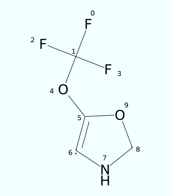 FC(F)(F)OC1=[C]NCO1